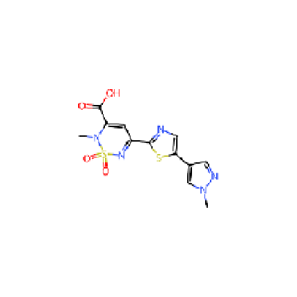 CN1C(C(=O)O)=CC(c2ncc(-c3cnn(C)c3)s2)=NS1(=O)=O